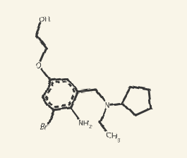 CCN(Cc1cc(OCCO)cc(Br)c1N)C1CCCC1